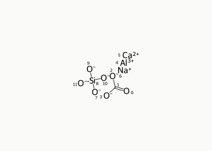 O=C([O-])[O-].[Al+3].[Ca+2].[Na+].[O-][Si]([O-])([O-])[O-]